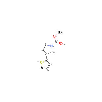 CC(C)(C)OC(=O)N1CCC(c2cccs2)C1